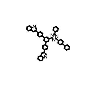 c1ccc(-c2ccc(-c3nc(-c4ccccc4)nc(-c4cc(-c5ccc(-c6cnc7ccccc7c6)cc5)cc(-c5ccc(-c6cnc7ccccc7c6)cc5)c4)n3)cc2)cc1